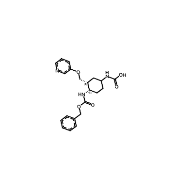 O=C(O)NC1CC[C@H](NC(=O)OCc2ccccc2)[C@H](COc2cccnc2)C1